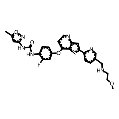 COCCNCc1ccc(-c2cc3nccc(Oc4ccc(NC(=O)Nc5cc(C)on5)c(F)c4)c3s2)nc1